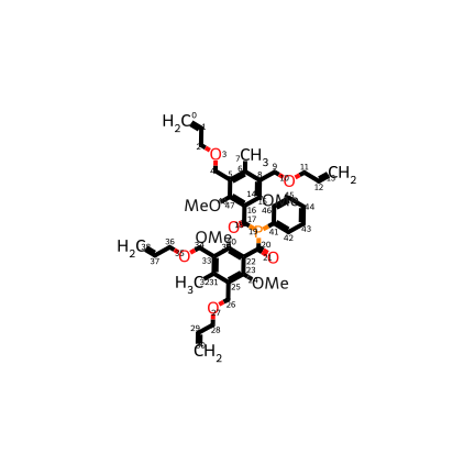 C=CCOCc1c(C)c(COCC=C)c(OC)c(C(=O)P(C(=O)c2c(OC)c(COCC=C)c(C)c(COCC=C)c2OC)c2ccccc2)c1OC